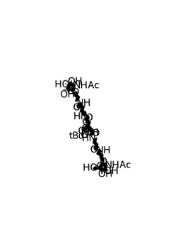 CC(=O)N[C@H]1[C@H](OCCCNC(=O)CCCNC(=O)OCC(COC(=O)NCCCC(=O)NCCCO[C@@H]2O[C@H](CO)[C@H](O)[C@H](O)[C@H]2NC(C)=O)OP(=O)(O)OC(C)(C)C)O[C@H](CO)[C@H](O)[C@@H]1O